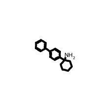 NC1(c2ccc(-c3ccccc3)cc2)CCCCC1